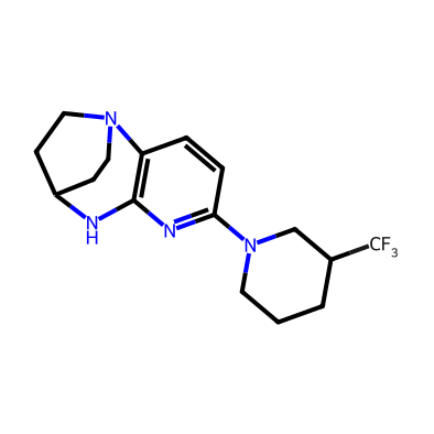 FC(F)(F)C1CCCN(c2ccc3c(n2)NC2CCN3CC2)C1